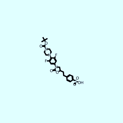 CC(C)(C)OC(=O)N1CCN(c2c(F)cc(N3CC(CCc4ccc(S(=O)(=O)O)cc4)OC3=O)cc2F)CC1